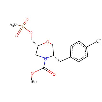 CC(C)(C)OC(=O)N1C[C@H](COS(C)(=O)=O)OC[C@@H]1Cc1ccc(C(F)(F)F)cc1